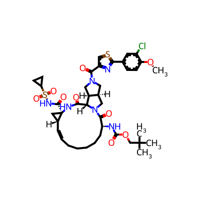 COc1ccc(-c2nc(C(=O)N3C[C@H]4CN5C(=O)[C@@H](NC(=O)OCC(C)(C)C)CCCCC/C=C\[C@@H]6C[C@@]6(C(=O)NS(=O)(=O)C6CC6)NC(=O)[C@@H]5[C@H]4C3)cs2)cc1Cl